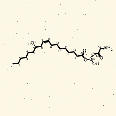 CCCCCC[C@@H](O)C/C=C\CCCCCCCC(=O)OB(O)OC(=O)CN